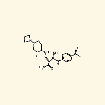 CC(=O)c1ccc(NC(=N)/C(=C\N[C@H]2CC[C@H](N3CCC3)C[C@@H]2C)C(N)=O)cc1